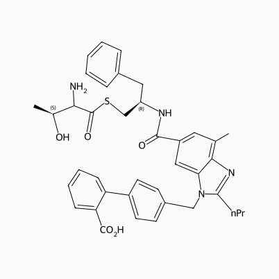 CCCc1nc2c(C)cc(C(=O)N[C@@H](CSC(=O)C(N)[C@H](C)O)Cc3ccccc3)cc2n1Cc1ccc(-c2ccccc2C(=O)O)cc1